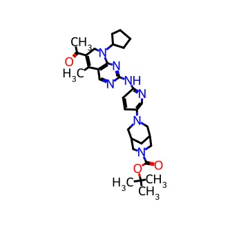 CC(=O)C1=C(C)c2cnc(Nc3ccc(N4CC5CC(CN(C(=O)OC(C)(C)C)C5)C4)cn3)nc2N(C2CCCC2)C1